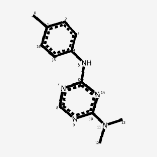 Cc1ccc(Nc2ncnc(N(C)C)n2)cc1